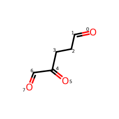 O=CCCC(=O)C=O